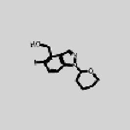 OCc1c(I)ccc2c1cnn2C1CCCCO1